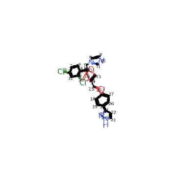 Clc1ccc([C@]2(Cn3ccnc3)OC[C@@H](COc3ccc(-c4cc[nH]n4)cc3)O2)c(Cl)c1